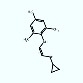 Cc1cc(C)c(N/C=C\NC2CC2)c(C)c1